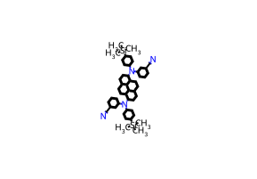 C[Si](C)(C)c1ccc(N(c2cccc(C#N)c2)c2ccc3ccc4c(N(c5ccc([Si](C)(C)C)cc5)c5cccc(C#N)c5)ccc5ccc2c3c54)cc1